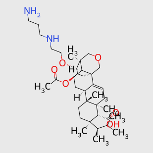 CC(=O)O[C@@H]1C[C@@]23COC[C@@](C)([C@@H]2CC[C@H]2C3=CC[C@@]3(C)[C@H](C(=O)O)[C@@](C)([C@H](C)C(C)C)CC[C@]23C)[C@H]1OCCNCCCN